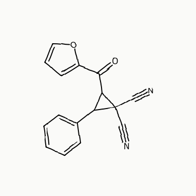 N#CC1(C#N)C(C(=O)c2ccco2)C1c1ccccc1